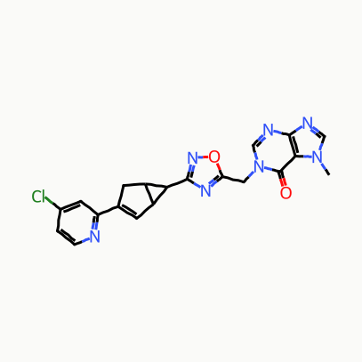 Cn1cnc2ncn(Cc3nc(C4C5C=C(c6cc(Cl)ccn6)CC54)no3)c(=O)c21